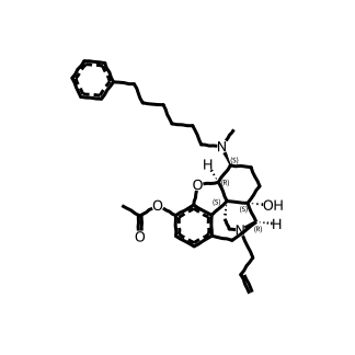 C=CCN1CC[C@]23c4c5ccc(OC(C)=O)c4O[C@H]2[C@@H](N(C)CCCCCCc2ccccc2)CC[C@@]3(O)[C@H]1C5